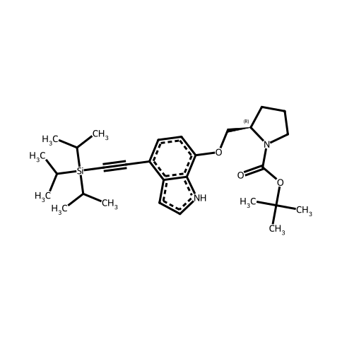 CC(C)[Si](C#Cc1ccc(OC[C@H]2CCCN2C(=O)OC(C)(C)C)c2[nH]ccc12)(C(C)C)C(C)C